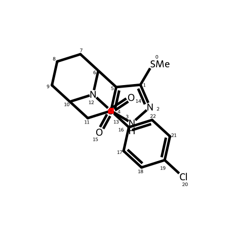 CSc1n[nH]c2c1C1CCCC(C2)N1S(=O)(=O)c1ccc(Cl)cc1